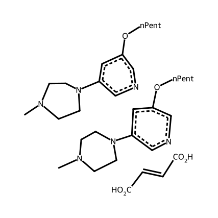 CCCCCOc1cncc(N2CCN(C)CC2)c1.CCCCCOc1cncc(N2CCN(C)CC2)c1.O=C(O)/C=C/C(=O)O